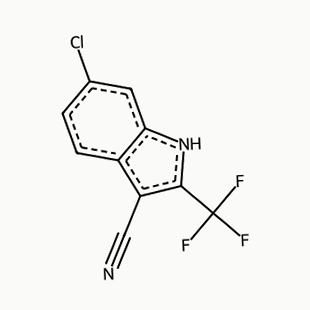 N#Cc1c(C(F)(F)F)[nH]c2cc(Cl)ccc12